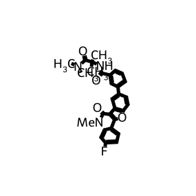 CNC(=O)c1c(-c2ccc(F)cc2)oc2ccc(-c3cccc(C(=O)NC(C)(C)C(=O)N(C)C)c3)cc12